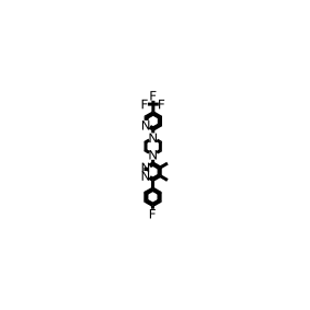 Cc1c(-c2ccc(F)cc2)nnc(N2CCN(c3ccc(C(F)(F)F)cn3)CC2)c1C